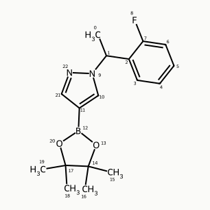 CC(c1ccccc1F)n1cc(B2OC(C)(C)C(C)(C)O2)cn1